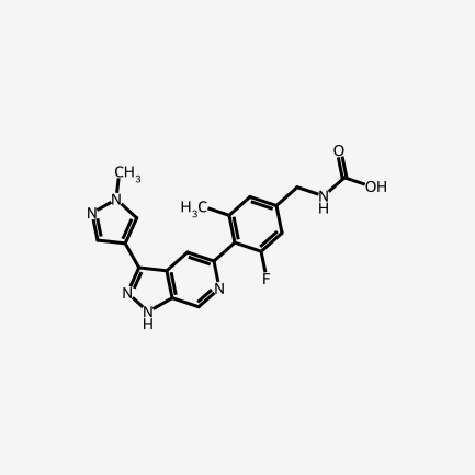 Cc1cc(CNC(=O)O)cc(F)c1-c1cc2c(-c3cnn(C)c3)n[nH]c2cn1